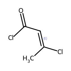 C/C(Cl)=C\C(=O)Cl